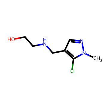 Cn1ncc(CNCCO)c1Cl